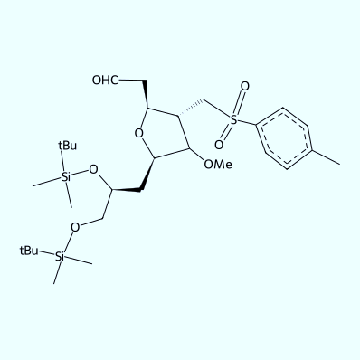 COC1[C@@H](CS(=O)(=O)c2ccc(C)cc2)[C@H](CC=O)O[C@@H]1C[C@@H](CO[Si](C)(C)C(C)(C)C)O[Si](C)(C)C(C)(C)C